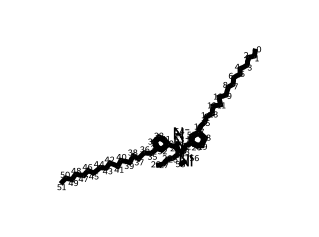 CCCCCCCCCCCCCCCCCc1cccc(C2=CC(CCCC)=C(c3cccc(CCCCCCCCCCCCCCCCC)c3)[N+]2=[N-])c1.[CH3][Ni][CH3]